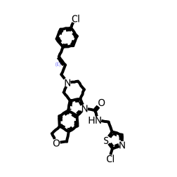 O=C(NCc1cnc(Cl)s1)n1c2c(c3cc4c(cc31)COC4)CN(C/C=C/c1ccc(Cl)cc1)CC2